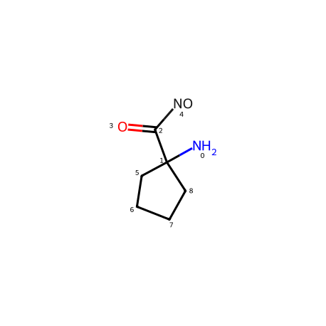 NC1(C(=O)N=O)CCCC1